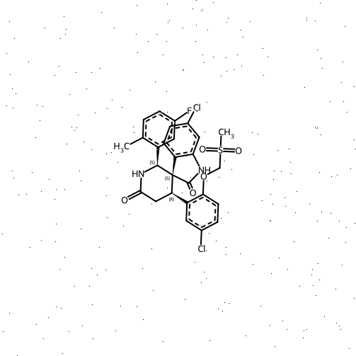 Cc1ccc(F)cc1[C@@H]1NC(=O)C[C@H](c2cc(Cl)ccc2OCS(C)(=O)=O)[C@@]12C(=O)Nc1cc(Cl)ccc12